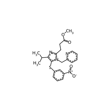 COC(=O)CCc1nc(C(C)C)c(Sc2cccc([N+](=O)[O-])c2)n1Cc1ccccn1